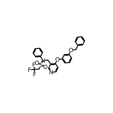 O=S(=O)(CC(F)(F)F)N(Cc1cnccc1Oc1cccc(OCc2ccccc2)c1)c1ccccc1